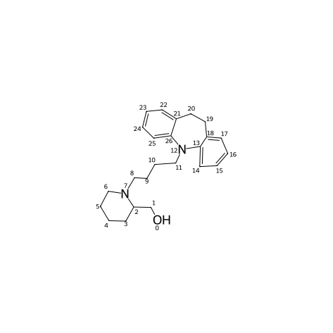 OCC1CCCCN1CCCCN1c2ccccc2CCc2ccccc21